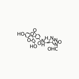 Nc1nc(=O)n(CC=O)cc1C#CCNC(=O)c1ccc2c(c1)C1(OC2=O)c2ccc(O)cc2Oc2cc(O)ccc21